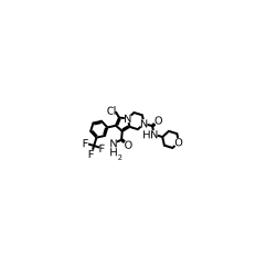 NC(=O)c1c(-c2cccc(C(F)(F)F)c2)c(Cl)n2c1CN(C(=O)NC1CCOCC1)CC2